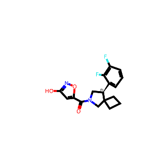 O=C(c1cc(O)no1)N1C[C@@H](c2cccc(F)c2F)C2(CCC2)C1